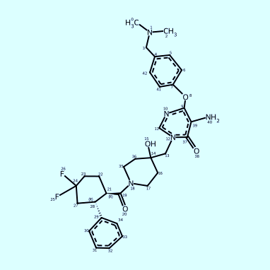 CN(C)Cc1ccc(Oc2ncn(CC3(O)CCN(C(=O)[C@@H]4CCC(F)(F)C[C@H]4c4ccccc4)CC3)c(=O)c2N)cc1